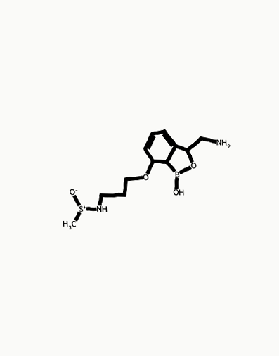 C[S+]([O-])NCCCOC1C=CC=C2C(CN)OB(O)C21